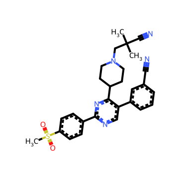 CC(C)(C#N)CN1CCC(c2nc(-c3ccc(S(C)(=O)=O)cc3)ncc2-c2cccc(C#N)c2)CC1